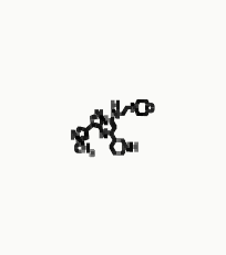 Cn1cc(-c2cnn3c(NCCN4CCOCC4)cc(C4CCCNC4)nc23)cn1